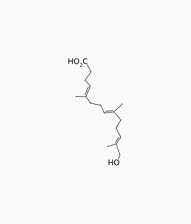 CC(=CCCC(=O)O)CCC=C(C)CC/C=C(\C)CO